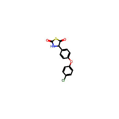 O=C1NC(c2ccc(Oc3ccc(Cl)cc3)cc2)C(=O)S1